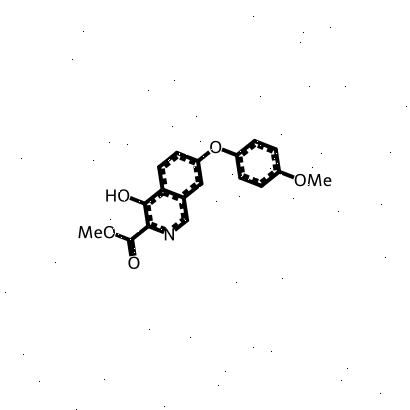 COC(=O)c1ncc2cc(Oc3ccc(OC)cc3)ccc2c1O